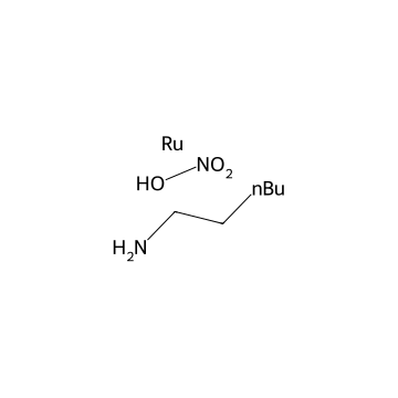 CCCCCCN.O=[N+]([O-])O.[Ru]